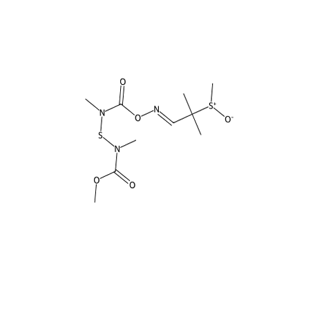 COC(=O)N(C)SN(C)C(=O)ON=CC(C)(C)[S+](C)[O-]